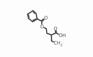 [CH2]CC(CCOC(=O)c1ccccc1)C(=O)O